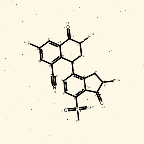 CS(=O)(=O)c1ccc(C2CC(F)C(=O)c3cc(F)cc(C#N)c32)c2c1C(=O)C(F)C2